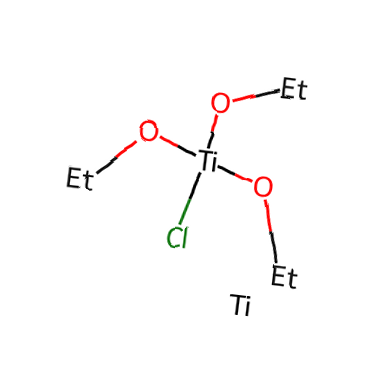 CC[O][Ti]([Cl])([O]CC)[O]CC.[Ti]